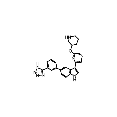 c1cc(-c2ccc3[nH]cc(-c4cncc(OC5CCCNC5)n4)c3c2)cc(-c2nnn[nH]2)c1